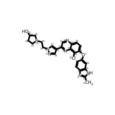 Cc1nc2ccc(Oc3ccc4ncc(-c5cnn(CCN6CCC(O)C6)c5)nc4c3Cl)cc2[nH]1